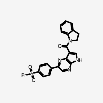 CC(C)S(=O)(=O)c1ccc(-c2cnc3[nH]cc(C(=O)N4CCc5ccccc54)c3n2)cc1